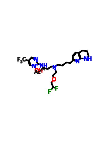 CC(=O)[C@H](CCN(CCCCc1ccc2c(n1)NCCC2)CCOCC(F)F)Nc1ncc(C(F)(F)F)c[n+]1O